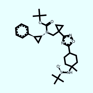 CC1(N[S@+]([O-])C(C)(C)C)CCC(c2nc(C3(CN(C(=O)OC(C)(C)C)[C@@H]4C[C@H]4c4ccccc4)CC3)no2)CC1